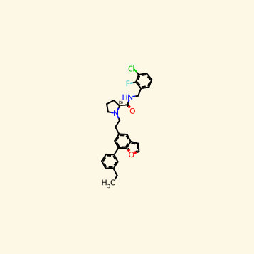 CCc1cccc(-c2cc(CCN3CCC[C@H]3C(=O)NCc3cccc(Cl)c3F)cc3ccoc23)c1